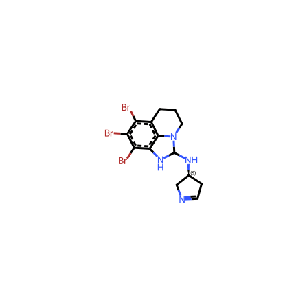 Brc1c(Br)c2c3c(c1Br)NC(N[C@H]1CC=NC1)N3CCC2